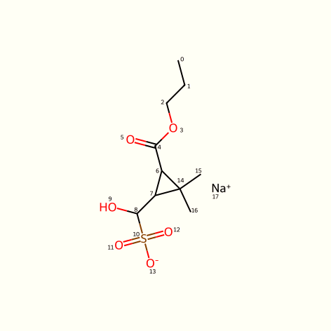 CCCOC(=O)C1C(C(O)S(=O)(=O)[O-])C1(C)C.[Na+]